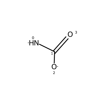 [NH]C([O])=O